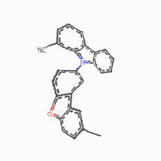 Cc1ccc2oc3ccc(-n4c5ccccc5c5cccc(C#N)c54)cc3c2c1